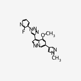 COc1cc(-c2cnn(C)c2)cn2ncc(-c3cn(-c4cccnc4F)nn3)c12